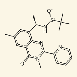 Cc1cc([C@@H](C)N[S@+]([O-])C(C)(C)C)c2nc(-c3ccccn3)n(C)c(=O)c2c1